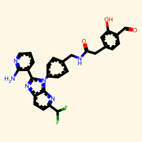 Nc1ncccc1-c1nc2ccc(C(F)F)nc2n1-c1ccc(CNC(=O)Cc2ccc(C=O)c(O)c2)cc1